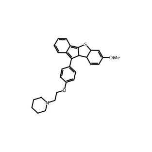 COC1=CC2SC3=c4ccccc4=C(c4ccc(OCCN5CCCCC5)cc4)C3C2C=C1